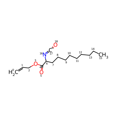 C=CCOC(=O)C(CCCCCCCCC)N=C=O